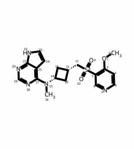 COc1ccncc1S(=O)(=O)C[C@H]1C[C@@H](N(C)c2ncnc3[nH]ccc23)C1